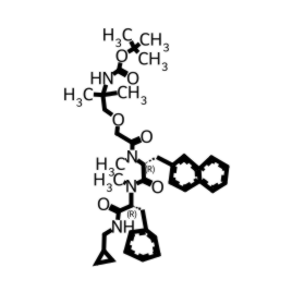 CN(C(=O)COCC(C)(C)NC(=O)OC(C)(C)C)[C@H](Cc1ccc2ccccc2c1)C(=O)N(C)[C@H](Cc1ccccc1)C(=O)NCC1CC1